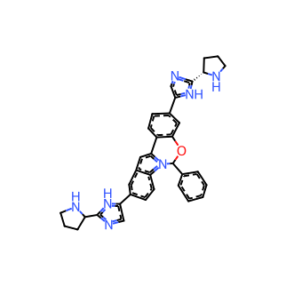 c1ccc(C2Oc3cc(-c4cnc([C@@H]5CCCN5)[nH]4)ccc3-c3cc4cc(-c5cnc(C6CCCN6)[nH]5)ccc4n32)cc1